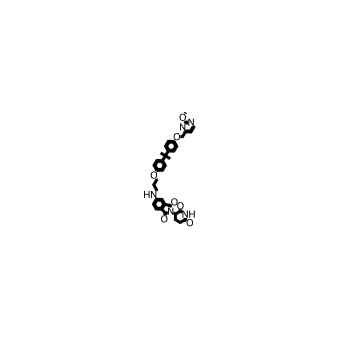 COc1nccc(COc2ccc(C(C)(C)c3ccc(OCCCNc4ccc5c(c4)C(=O)N(C4CCC(=O)NC4=O)C5=O)cc3)cc2)n1